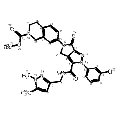 Cc1cc(CNC(=O)c2c3c(nn2-c2cccc(Cl)c2)C(=O)N(c2ccc4c(c2)CN(C(=O)OC(C)(C)C)CC4)C3)nn1C